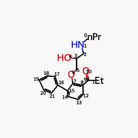 CCCNCC(O)COc1c(C(=O)CC)cccc1-c1ccccc1